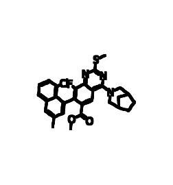 COC(=O)c1cc2c(N3CC4CCC(C4)C3)nc(SC)nc2c(F)c1-c1cc(C)cc2cccc(Cl)c12